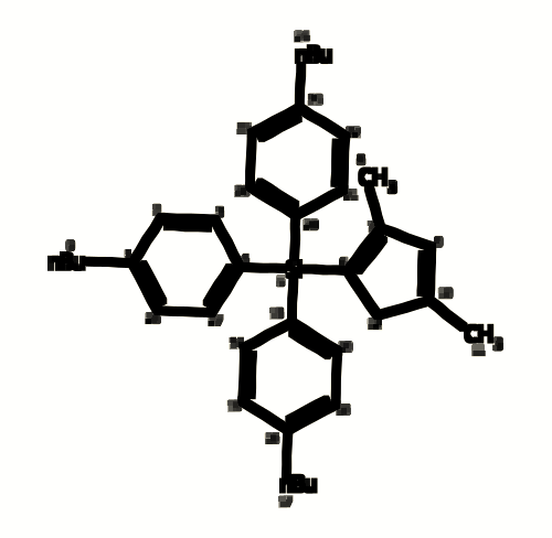 CCCCc1ccc([Si](C2=C(C)C=C(C)C2)(c2ccc(CCCC)cc2)c2ccc(CCCC)cc2)cc1